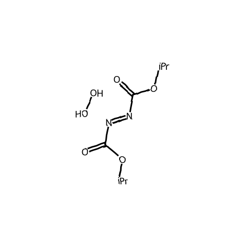 CC(C)OC(=O)N=NC(=O)OC(C)C.OO